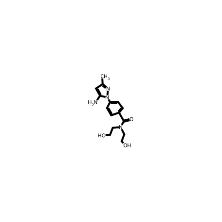 Cc1cc(N)n(-c2ccc(C(=O)N(CCO)CCO)cc2)n1